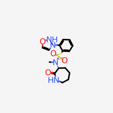 CN([C@@H]1CCCCNC1=O)S(=O)(=O)c1ccccc1N1C=CON1